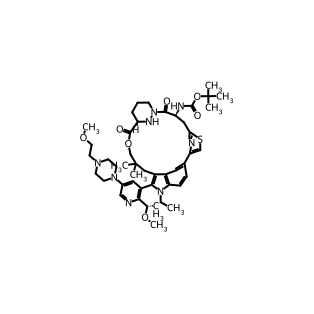 CCn1c(-c2cc(N3CCN(CCOC)CC3)cnc2[C@H](C)OC)c2c3cc(ccc31)-c1csc(n1)C[C@H](NC(=O)OC(C)(C)C)C(=O)N1CCC[C@H](N1)C(=O)OCC(C)(C)C2